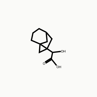 O=C(O)C(O)C12CC3CCCC1(C3)C2